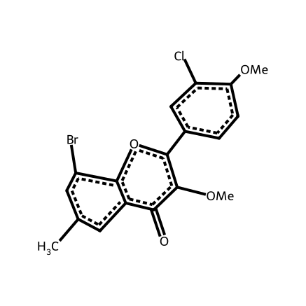 COc1ccc(-c2oc3c(Br)cc(C)cc3c(=O)c2OC)cc1Cl